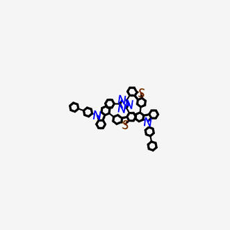 c1ccc(-c2ccc(-n3c4ccccc4c4c(-c5ccc6sc7cccc(-c8nc(-c9ccccc9)nc(-c9cccc%10sc%11ccc(-c%12cccc%13c%12c%12ccccc%12n%13-c%12ccc(-c%13ccccc%13)cc%12)cc%11c9%10)n8)c7c6c5)cccc43)cc2)cc1